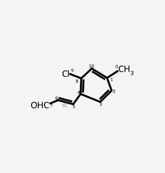 Cc1ccc(/C=C/C=O)c(Cl)c1